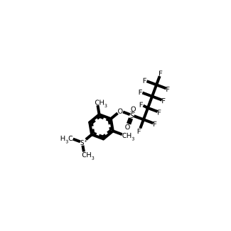 Cc1cc([S+](C)C)cc(C)c1OS(=O)(=O)C(F)(F)C(F)(F)C(F)(F)C(F)(F)F